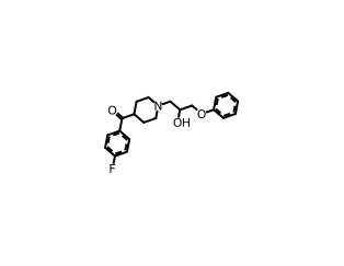 O=C(c1ccc(F)cc1)C1CCN(CC(O)COc2ccccc2)CC1